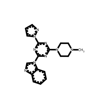 CN1CCN(c2nc(-n3cccn3)nc(-n3cnc4ccccc43)n2)CC1